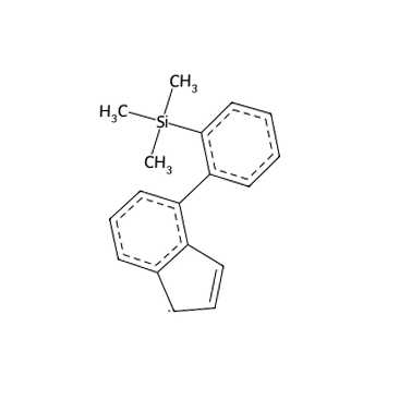 C[Si](C)(C)c1ccccc1-c1cccc2c1C=C[CH]2